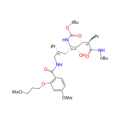 CCCCNC(=O)[C@@H](C[C@H](O)[C@H](C[C@H](CNC(=O)c1ccc(OC)cc1OCCCOC)C(C)C)NC(=O)OC(C)(C)C)C(C)C